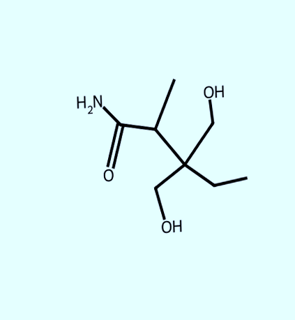 CCC(CO)(CO)C(C)C(N)=O